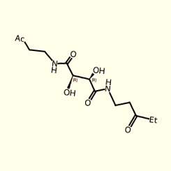 CCC(=O)CCNC(=O)[C@H](O)[C@@H](O)C(=O)NCCC(C)=O